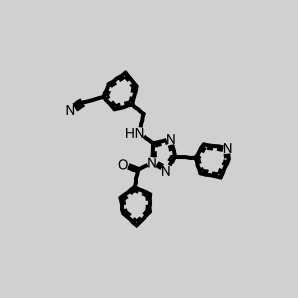 N#Cc1cccc(CNc2nc(-c3cccnc3)nn2C(=O)c2ccccc2)c1